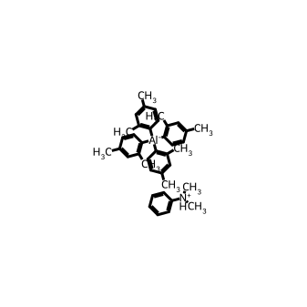 C[NH+](C)c1ccccc1.Cc1cc[c]([Al-]([c]2ccc(C)cc2C)([c]2ccc(C)cc2C)[c]2ccc(C)cc2C)c(C)c1